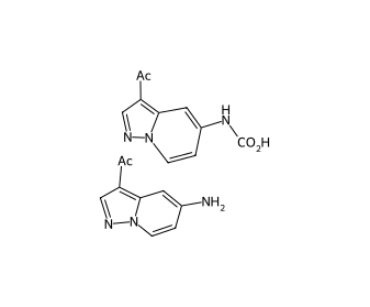 CC(=O)c1cnn2ccc(N)cc12.CC(=O)c1cnn2ccc(NC(=O)O)cc12